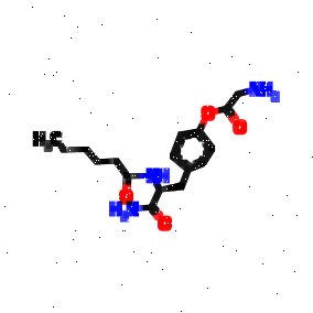 CCCCCC(=O)N[C@@H](Cc1ccc(OC(=O)CN)cc1)C(N)=O